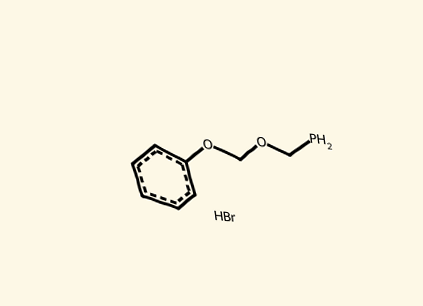 Br.PCOCOc1ccccc1